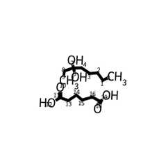 CCCCCC(O)(O)CC.O=C(O)CCCCC(=O)O